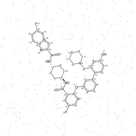 O=C(N[C@H]1CC[C@H](NC(=O)c2cc(F)cnc2Oc2cccc(-c3ccc(O)cc3CN3CCSCC3)c2)CC1)c1cn2cc(F)ccc2n1